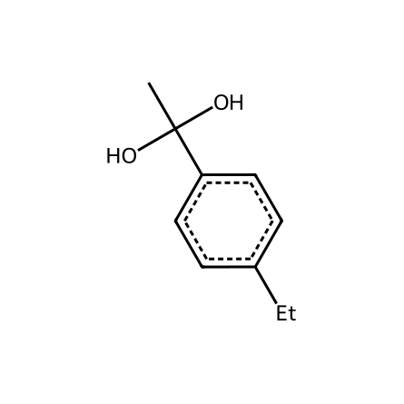 CCc1ccc(C(C)(O)O)cc1